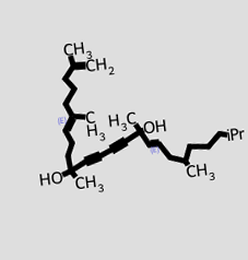 C=C(C)CCC/C(C)=C/CCC(C)(O)C#CC#CC(C)(O)/C=C/CC(C)CCCC(C)C